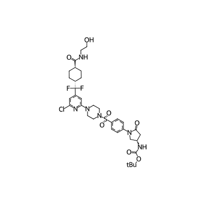 CC(C)(C)OC(=O)N[C@@H]1CC(=O)N(c2ccc(S(=O)(=O)N3CCN(c4cc(C(F)(F)[C@H]5CC[C@H](C(=O)NCCO)CC5)cc(Cl)n4)CC3)cc2)C1